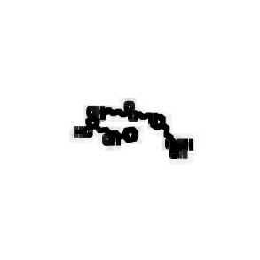 O=C(CCC/C=C\C[C@@H]1[C@@H](CC[C@@H](O)CCc2ccccc2)[C@H](O)C[C@@H]1O)OCCCN1CCC(CCCON(O)O)CC1